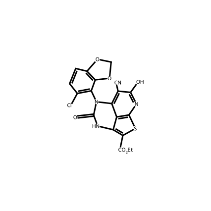 CCOC(=O)c1sc2nc(O)c(C#N)c3c2c1NC(=O)N3c1c(Cl)ccc2c1OCO2